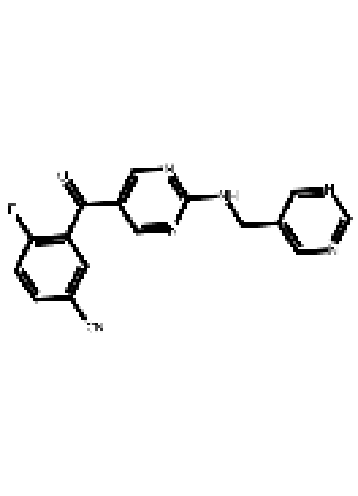 N#Cc1ccc(F)c(C(=O)c2cnc(NCc3cncnc3)nc2)c1